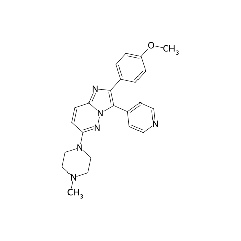 COc1ccc(-c2nc3ccc(N4CCN(C)CC4)nn3c2-c2ccncc2)cc1